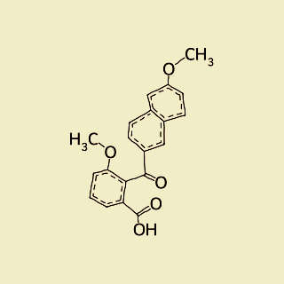 COc1ccc2cc(C(=O)c3c(OC)cccc3C(=O)O)ccc2c1